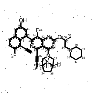 C#Cc1c(F)ccc2cc(O)cc(-c3nc(C#CC)c4c(N5C[C@H]6CC[C@@H](C5)N6)nc(O[C@@H](C)CN5CCCCC5)nc4c3F)c12